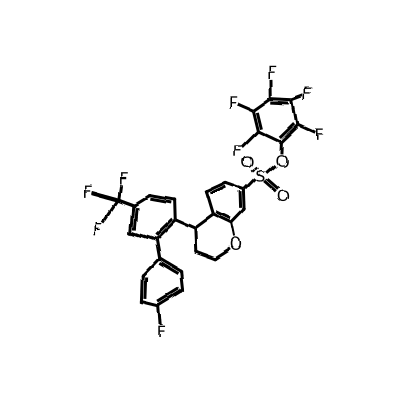 O=S(=O)(Oc1c(F)c(F)c(F)c(F)c1F)c1ccc2c(c1)OCCC2c1ccc(C(F)(F)F)cc1-c1ccc(F)cc1